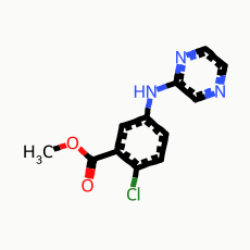 COC(=O)c1cc(Nc2cnccn2)ccc1Cl